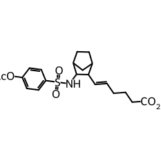 CC(=O)Oc1ccc(S(=O)(=O)NC2C3CCC(C3)C2C=CCCCC(=O)O)cc1